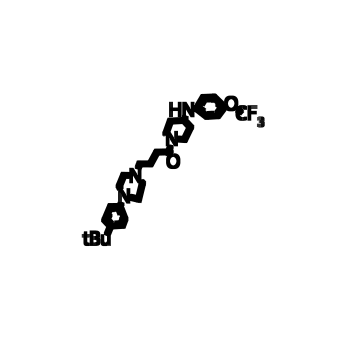 CC(C)(C)c1ccc(N2CCN(CCCC(=O)N3CCC(Nc4ccc(OC(F)(F)F)cc4)CC3)CC2)cc1